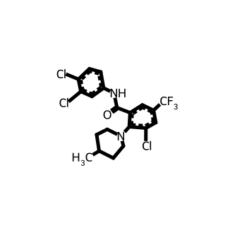 CC1CCN(c2c(Cl)cc(C(F)(F)F)cc2C(=O)Nc2ccc(Cl)c(Cl)c2)CC1